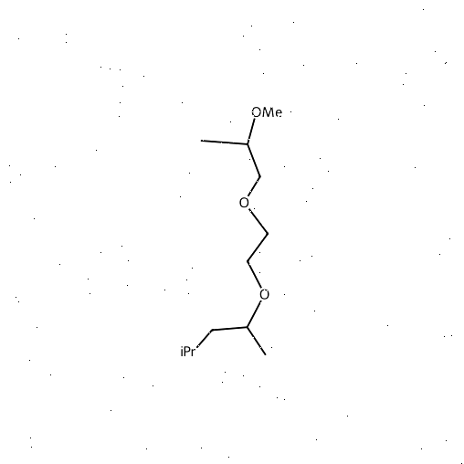 COC(C)COCCOC(C)CC(C)C